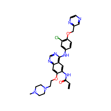 C=CC(=O)Nc1cc2c(Nc3ccc(OCc4cnccn4)c(Cl)c3)ncnc2cc1OCCN1CCN(C)CC1